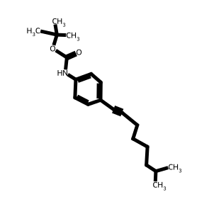 CC(C)CCCCC#Cc1ccc(NC(=O)OC(C)(C)C)cc1